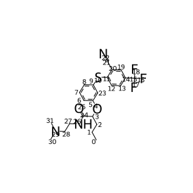 CCCC(Oc1cccc(Sc2ccc(C(F)(F)F)cc2C#N)c1)C(=O)NCCN(C)C